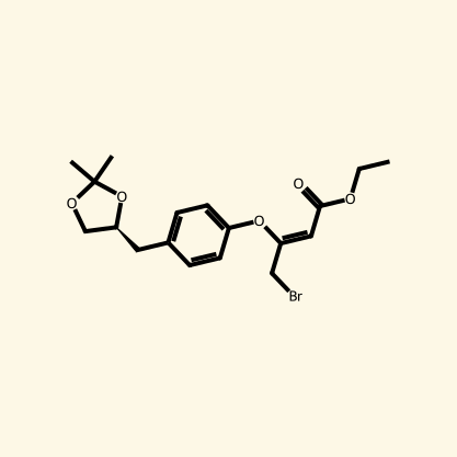 CCOC(=O)/C=C(/CBr)Oc1ccc(C[C@H]2COC(C)(C)O2)cc1